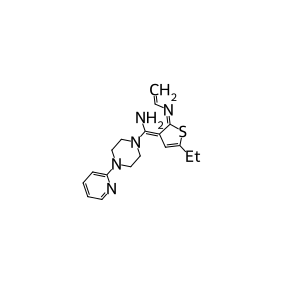 C=C/N=C1/SC(CC)=C/C1=C(/N)N1CCN(c2ccccn2)CC1